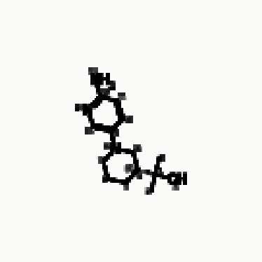 CC(C)(O)[C@@H]1CCCN(c2ccc(N)nc2)C1